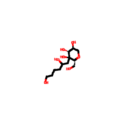 OCCCCC(O)C[C@]1(O)[C@H](O)[C@@H](O)CO[C@@H]1CO